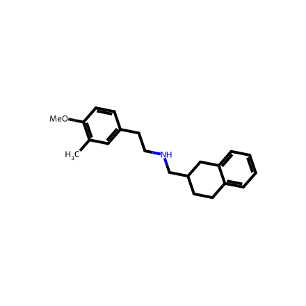 COc1ccc(CCNCC2CCc3ccccc3C2)cc1C